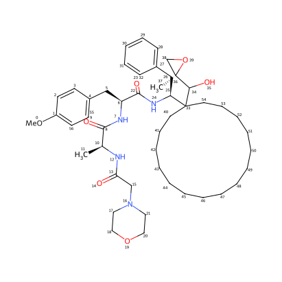 COc1ccc(C[C@H](NC(=O)[C@H](C)NC(=O)CN2CCOCC2)C(=O)N[C@@H](Cc2ccccc2)C2(C(O)[C@@]3(C)CO3)CCCCCCCCCCCCCCC2)cc1